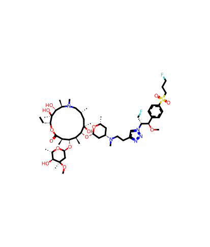 CC[C@H]1OC(=O)[C@H](C)[C@@H](O[C@H]2C[C@@](C)(OC)[C@@H](O)[C@H](C)O2)[C@H](C)[C@@H](O[C@H]2C[C@@H](N(C)CCc3cn([C@H](CF)[C@H](OC)c4ccc(S(=O)(=O)CCCF)cc4)nn3)C[C@@H](C)O2)[C@](C)(O)C[C@@H](C)CN(C)[C@H](C)[C@@H](O)[C@]1(C)O